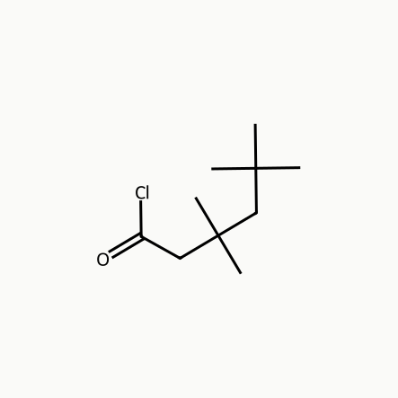 CC(C)(C)CC(C)(C)CC(=O)Cl